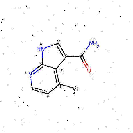 CC(C)c1ccnc2[nH]cc(C(N)=O)c12